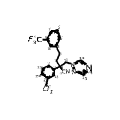 N#CC(CCc1cccc(C(F)(F)F)c1)(Cn1cncn1)c1cccc(C(F)(F)F)c1